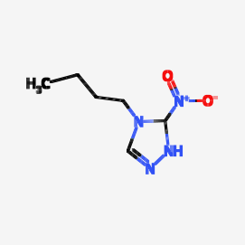 CCCCN1C=NNC1[N+](=O)[O-]